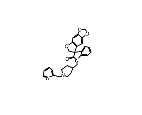 O=C1N(CC2CCN(Cc3ccccn3)CC2)c2ccccc2C12COc1cc3c(cc12)OCO3